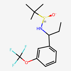 CCC(N[S@+]([O-])C(C)(C)C)c1cccc(OC(F)(F)F)c1